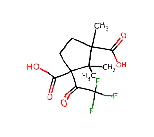 CC1(C(=O)O)CCC(C(=O)O)(C(=O)C(F)(F)F)C1(C)C